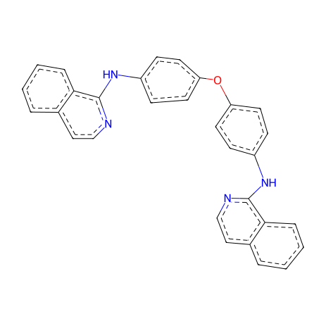 c1ccc2c(Nc3ccc(Oc4ccc(Nc5nccc6ccccc56)cc4)cc3)nccc2c1